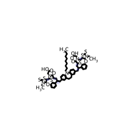 CCCCCCCCCCN1c2ccc(/C=C(\C=c3/s/c(=C4/SC(=S)N(CC)C4=O)n(CC(=O)O)c3=O)c3ccccc3)cc2CCc2cc(/C=C(\C=c3/s/c(=C4/SC(=S)N(CC)C4=O)n(CC(=O)O)c3=O)c3ccccc3)ccc21